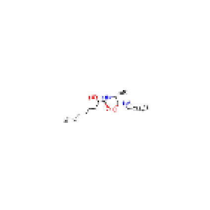 CCCCCCCCCCCCCCC(O)C(=O)NC(CCCC)C(=O)NCC(=O)OCC